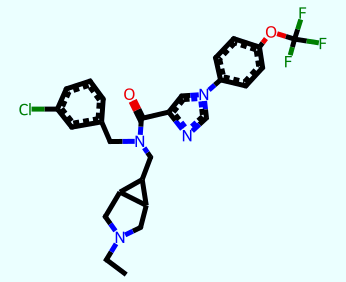 CCN1CC2C(C1)C2CN(Cc1cccc(Cl)c1)C(=O)c1cn(-c2ccc(OC(F)(F)F)cc2)cn1